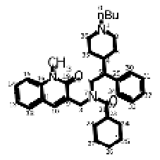 CCCCN1CCC(C(CN(Cc2cc3ccccc3n(C)c2=O)C(=O)C2CCCCC2)c2ccccc2)CC1